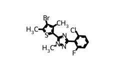 Cc1sc(-c2nc(-c3c(F)cccc3Cl)nn2C)c(C)c1Br